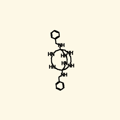 c1ccc(CNC23CNCCNCC(NCc4ccccc4)(CNCCNC2)CNCCNC3)cc1